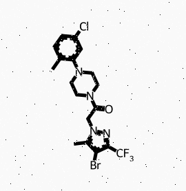 Cc1ccc(Cl)cc1N1CCN(C(=O)Cn2nc(C(F)(F)F)c(Br)c2C)CC1